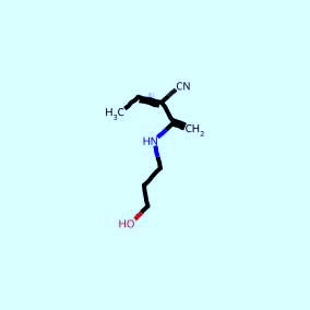 C=C(NCCCO)/C(C#N)=C\C